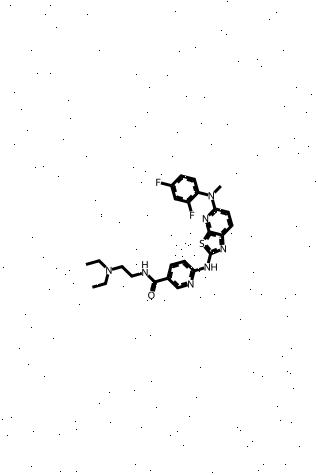 CCN(CC)CCNC(=O)c1ccc(Nc2nc3ccc(N(C)c4ccc(F)cc4F)nc3s2)nc1